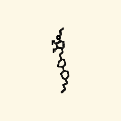 C=CCCC1CCC(C2CCC(CCc3ccc(O/C=C/C)c(F)c3F)CC2)CC1